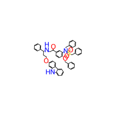 O=C(CNC(CCOc1ccc2c(c1)[nH]c1ccccc12)c1ccccc1)c1ccc(OCc2ccccc2)c(N(Cc2ccccc2)S(=O)(=O)Cc2ccccc2)c1